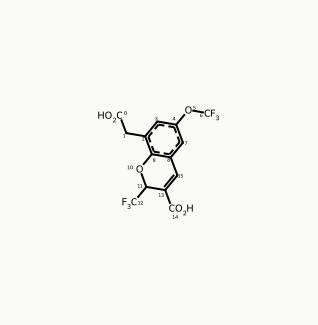 O=C(O)Cc1cc(OC(F)(F)F)cc2c1OC(C(F)(F)F)C(C(=O)O)=C2